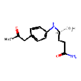 COC(=O)Cc1ccc(N[C@@H](CCC(N)=O)C(=O)O)cc1